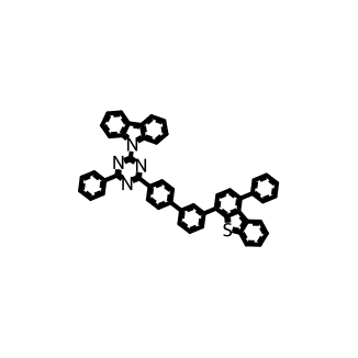 c1ccc(-c2nc(-c3ccc(-c4cccc(-c5ccc(-c6ccccc6)c6c5sc5ccccc56)c4)cc3)nc(-n3c4ccccc4c4ccccc43)n2)cc1